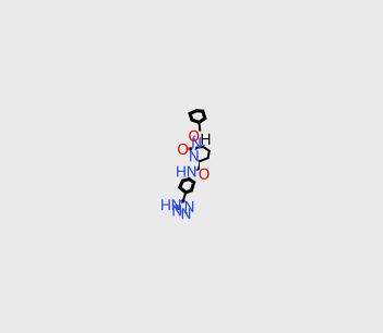 O=C(Nc1ccc(-c2nnn[nH]2)cc1)[C@@H]1CC[C@H]2CN1C(=O)N2OCc1ccccc1